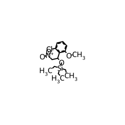 CC[Si](CC)(CC)OC(C[N+](=O)[O-])c1c(Cl)cccc1OC